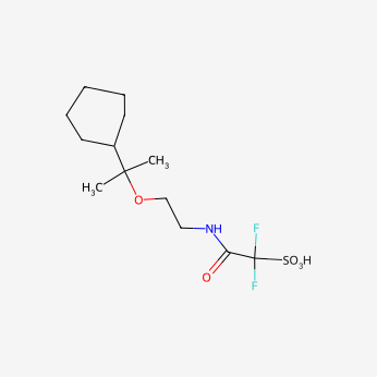 CC(C)(OCCNC(=O)C(F)(F)S(=O)(=O)O)C1CCCCC1